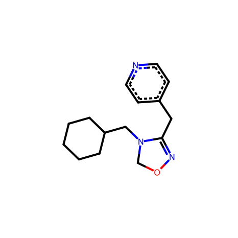 c1cc(CC2=NOCN2CC2CCCCC2)ccn1